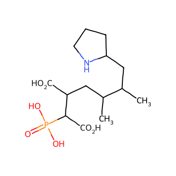 CC(CC1CCCN1)C(C)CC(C(=O)O)C(C(=O)O)P(=O)(O)O